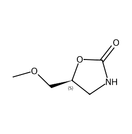 COC[C@@H]1CNC(=O)O1